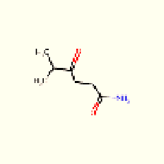 CC(C)C(=O)CCC(N)=O